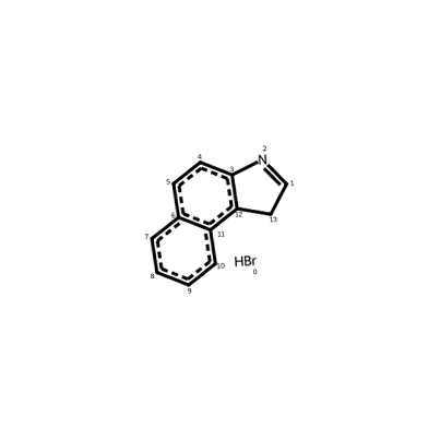 Br.C1=Nc2ccc3ccccc3c2C1